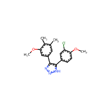 COc1ccc(-c2[nH]nnc2-c2cc(C)c(C)c(OC)c2)cc1Cl